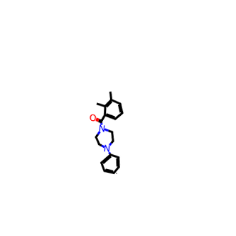 Cc1cccc(C(=O)N2CCN(c3cc[c]cc3)CC2)c1C